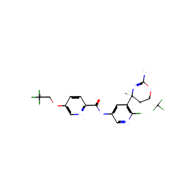 C[C@]1(c2cc(NC(=O)c3ccc(OCC(F)(F)F)cn3)cnc2F)C[C@@H](C(F)(F)F)OC(N)=N1